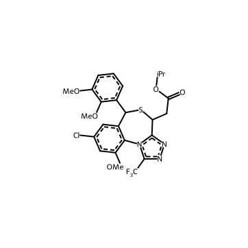 COc1cccc(C2SC(CC(=O)OC(C)C)c3nnc(C(F)(F)F)n3-c3c(OC)cc(Cl)cc32)c1OC